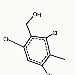 Cc1c(O)cc(Cl)c(CO)c1Cl